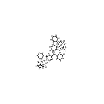 c1ccc(N(c2ccc3c(c2)-c2ccccc2C32C3CC4CC(C3)CC2C4)c2ccc3c(c2)C2(c4ccccc4-3)C3CC4CC(C3)CC2C4)cc1